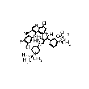 CN(c1cccc([C@H](Nc2cc(Cl)c3ncc(C#N)c(Nc4ccc(F)c(Cl)c4)c3c2)C2=CN(C3CCN(C(C)(C)C)CC3)NN2)c1)S(C)(=O)=O